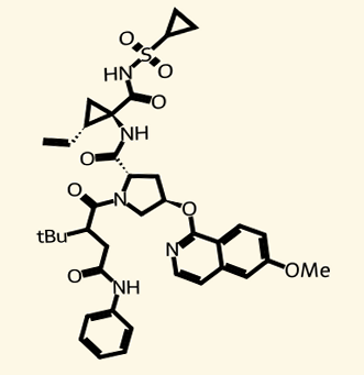 C=C[C@@H]1C[C@]1(NC(=O)[C@@H]1C[C@@H](Oc2nccc3cc(OC)ccc23)CN1C(=O)C(CC(=O)Nc1ccccc1)C(C)(C)C)C(=O)NS(=O)(=O)C1CC1